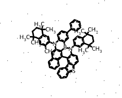 Cc1cc2c(cc1N1c3ccc(-c4ccccc4)cc3B3c4c1cc1ccccc1c4-c1c(ccc4sc5ccccc5c14)N3c1ccc3c(c1)C(C)(C)CCC3(C)C)C(C)(C)CCC2(C)C